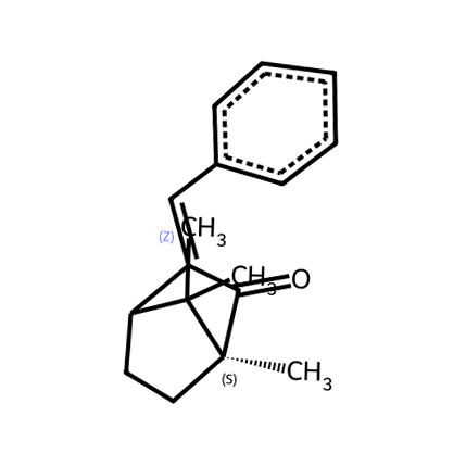 CC1(C)C2CC[C@]1(C)C(=O)/C2=C\c1ccccc1